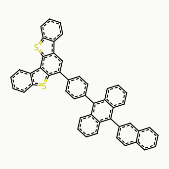 c1ccc2cc(-c3c4ccccc4c(-c4ccc(-c5cc6c7ccccc7sc6c6c5sc5ccccc56)cc4)c4ccccc34)ccc2c1